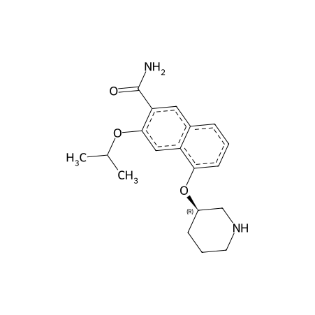 CC(C)Oc1cc2c(O[C@@H]3CCCNC3)cccc2cc1C(N)=O